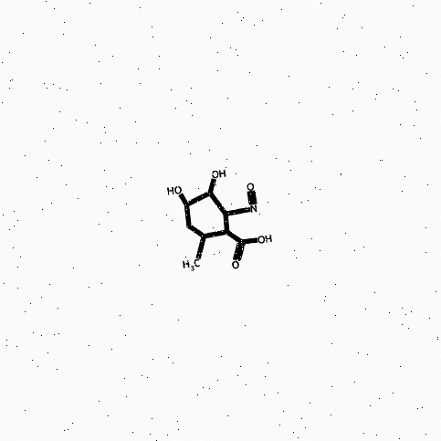 CC1CC(O)C(O)C(N=O)C1C(=O)O